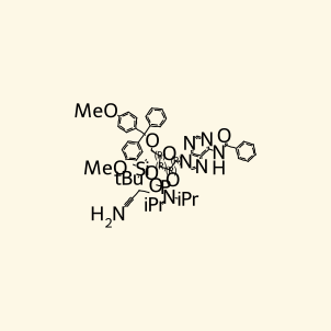 COc1ccc(C(OC[C@H]2O[C@@H](n3cnc4c(NC(=O)c5ccccc5)ncnc43)[C@H](OP(OCCC#CN)N(C(C)C)C(C)C)[C@@H]2O[Si](C)(C)C(C)(C)C)(c2ccccc2)c2ccc(OC)cc2)cc1